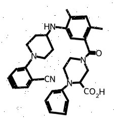 Cc1cc(C)c(C(=O)N2CCN(c3ccccc3)C(C(=O)O)C2)cc1NC1CCN(c2cc#ccc2C#N)CC1